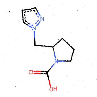 O=C(O)N1CCCC1Cn1cccn1